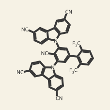 N#Cc1ccc2c(c1)c1cc(C#N)ccc1n2-c1cc(-c2c(C(F)(F)F)cccc2C(F)(F)F)cc(-n2c3ccc(C#N)cc3c3cc(C#N)ccc32)c1C#N